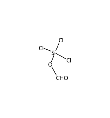 O=CO[Si](Cl)(Cl)Cl